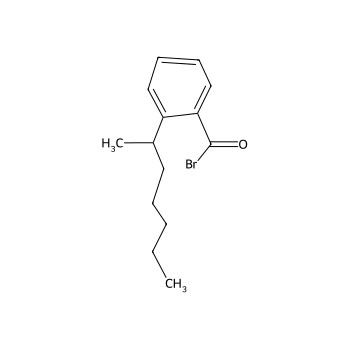 CCCCCC(C)c1ccccc1C(=O)Br